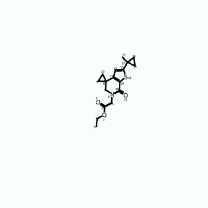 CCOC(=O)CN1CC2(CC2)c2cc(C3(C)CC3)sc2C1=O